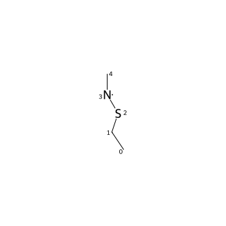 CCS[N]C